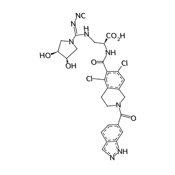 [C-]#[N+]/N=C(\NC[C@H](NC(=O)c1c(Cl)cc2c(c1Cl)CCN(C(=O)c1ccc3cn[nH]c3c1)C2)C(=O)O)N1C[C@@H](O)[C@@H](O)C1